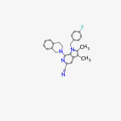 Cc1c(C)n(Cc2ccc(F)cc2)c2c(N3CCc4ccccc4C3)nc(C#N)cc12